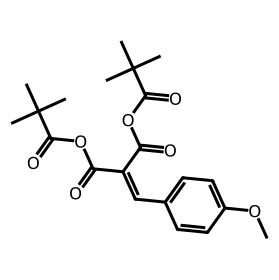 COc1ccc(C=C(C(=O)OC(=O)C(C)(C)C)C(=O)OC(=O)C(C)(C)C)cc1